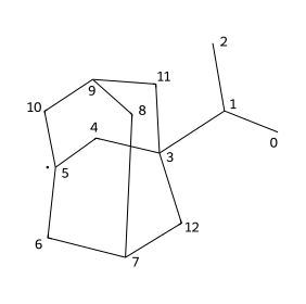 CC(C)C12C[C]3CC(CC(C3)C1)C2